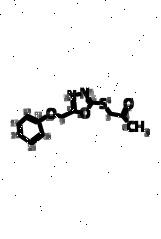 CC(=O)CSc1nnc(COc2ccccc2)o1